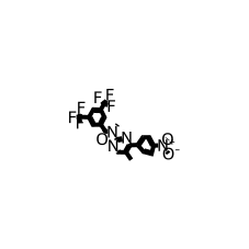 Cc1cnc(N(C)C(=O)c2cc(C(F)(F)F)cc(C(F)(F)F)c2)nc1-c1ccc([N+](=O)[O-])cc1